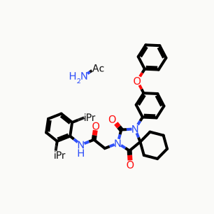 CC(C)c1cccc(C(C)C)c1NC(=O)CN1C(=O)N(c2cccc(Oc3ccccc3)c2)C2(CCCCC2)C1=O.CC(N)=O